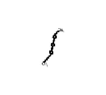 CCCCCCCCCc1ccc(C#Cc2ccc(C#Cc3ccc(CCCCC)cc3)cc2)cc1